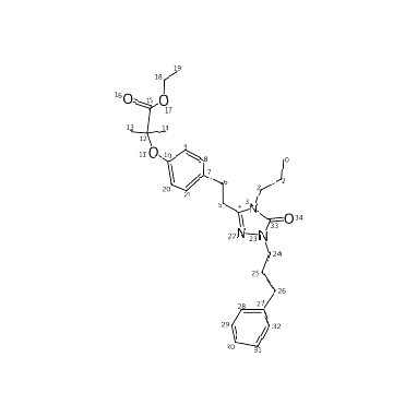 CCCn1c(CCc2ccc(OC(C)(C)C(=O)OCC)cc2)nn(CCCc2ccccc2)c1=O